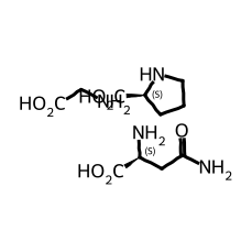 NC(=O)C[C@H](N)C(=O)O.NCC(=O)O.O=C(O)[C@@H]1CCCN1